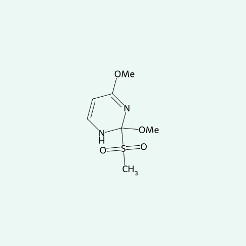 COC1=NC(OC)(S(C)(=O)=O)NC=C1